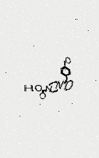 O=Cc1ccc(C(=O)N2CCN(C(=O)O)CC2)cc1